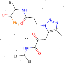 CCC(CC)NC(=O)C(=O)Cc1c(C)nnn1CCC(=O)NC(CC)C(=O)P